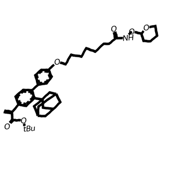 C=C(C(=O)OC(C)(C)C)c1ccc(-c2ccc(OCCCCCCCC(=O)NOC3CCCCO3)cc2)c(C23CC4CC(CC(C4)C2)C3)c1